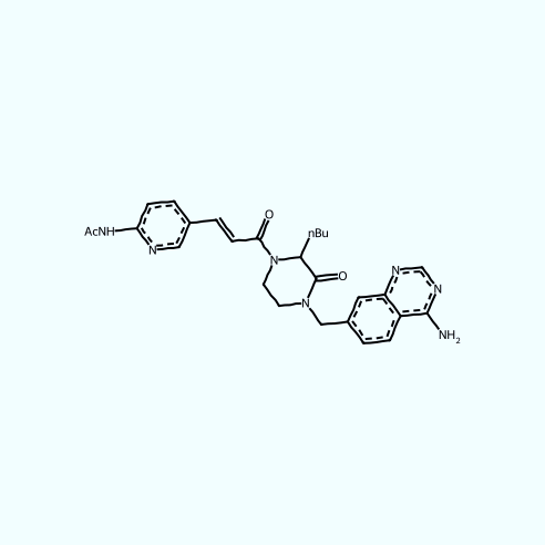 CCCCC1C(=O)N(Cc2ccc3c(N)ncnc3c2)CCN1C(=O)/C=C/c1ccc(NC(C)=O)nc1